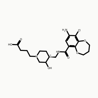 Nc1cc(C(=O)NC[C@@H]2CCN(CCCC(=O)O)CC2O)c2c(c1Cl)OCCCO2